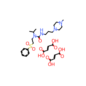 CC(C)N(CCS(=O)(=O)c1ccccc1)C(=O)NCCCN1CCN(C)CC1.O=C(O)C=CC(=O)O.O=C(O)C=CC(=O)O